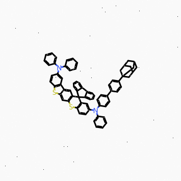 c1ccc(N(c2ccc(-c3ccc(C45CC6CC(CC(C6)C4)C5)cc3)cc2)c2ccc3c(c2)C2(c4cc5c(cc4S3)sc3ccc(N(c4ccccc4)c4ccccc4)cc35)c3ccccc3-c3ccccc32)cc1